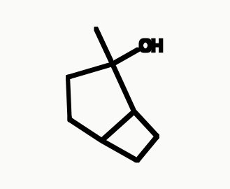 CC1(O)CCC2CCC21